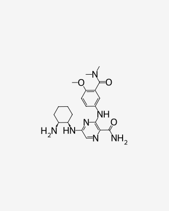 COc1ccc(Nc2nc(N[C@@H]3CCCC[C@@H]3N)cnc2C(N)=O)cc1C(=O)N(C)C